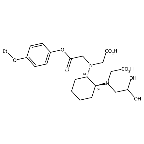 CCOc1ccc(OC(=O)CN(CC(=O)O)[C@H]2CCCC[C@@H]2N(CC(=O)O)CC(O)O)cc1